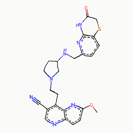 COc1ccc2ncc(C#N)c(CCN3CCC(NCc4ccc5c(n4)NC(=O)CS5)C3)c2n1